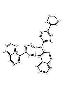 c1cncc(-c2ccc(-n3c4ccc(-c5nccc6ccccc56)cc4c4c5ccccc5ccc43)nc2)c1